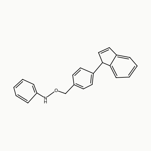 C1=CC(c2ccc(CONc3ccccc3)cc2)c2ccccc21